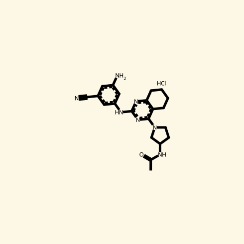 CC(=O)NC1CCN(c2nc(Nc3cc(N)cc(C#N)c3)nc3c2CCCC3)C1.Cl